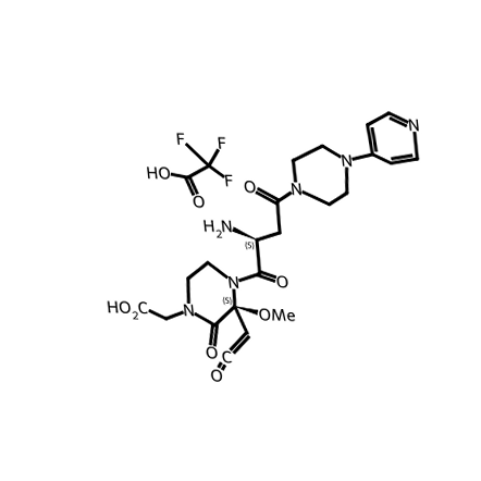 CO[C@@]1(C=C=O)C(=O)N(CC(=O)O)CCN1C(=O)[C@@H](N)CC(=O)N1CCN(c2ccncc2)CC1.O=C(O)C(F)(F)F